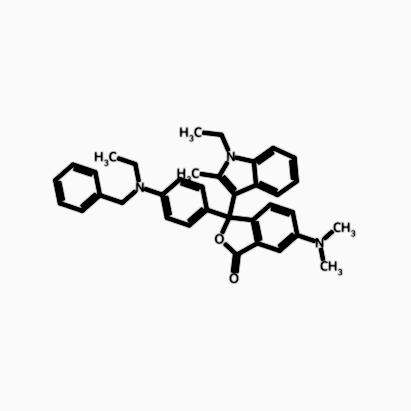 CCN(Cc1ccccc1)c1ccc(C2(c3c(C)n(CC)c4ccccc34)OC(=O)c3cc(N(C)C)ccc32)cc1